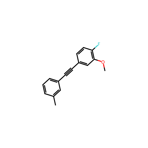 COc1cc(C#Cc2cccc(C)c2)ccc1F